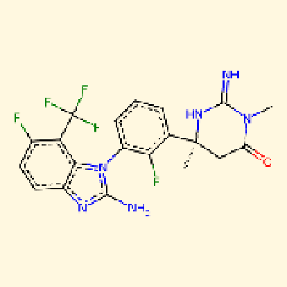 CN1C(=N)N[C@](C)(c2cccc(-n3c(N)nc4ccc(F)c(C(F)(F)F)c43)c2F)CC1=O